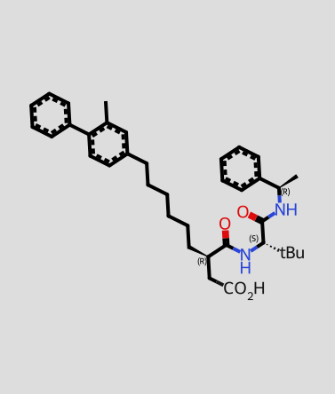 Cc1cc(CCCCCC[C@H](CC(=O)O)C(=O)N[C@H](C(=O)N[C@H](C)c2ccccc2)C(C)(C)C)ccc1-c1ccccc1